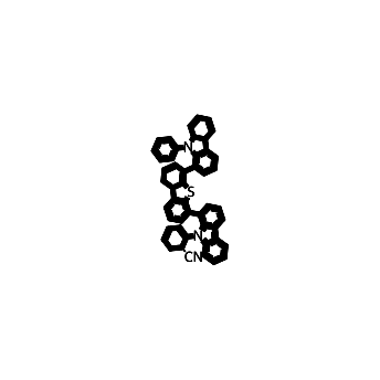 N#C[C@@H]1CC=CC=C1n1c2ccccc2c2cccc(-c3cccc4c3SC3=C(c5cccc6c5N(c5ccccc5)C5C=CC=CC65)C=CCC34)c21